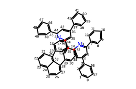 c1ccc(-c2cc(-c3ccccc3)nc(-c3cccc(-c4cccc5cccc(-c6cccc(-c7cc(-c8ccccc8)cc(-c8ccccc8)n7)c6)c45)c3)c2)cc1